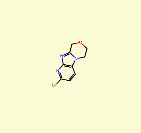 Brc1ccc2c(n1)nc1n2CCOC1